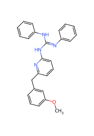 COc1cccc(Cc2cccc(NC(=Nc3ccccc3)Nc3ccccc3)n2)c1